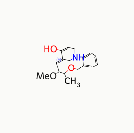 COC(/C=C1\CNCC=C1O)C(C)OCc1ccccc1